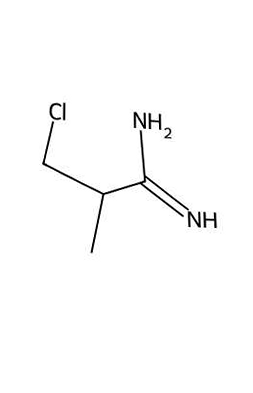 CC(CCl)C(=N)N